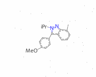 COc1ccc(-c2c3cccc(C)c3nn2C(C)C)cc1